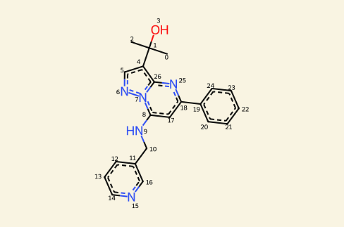 CC(C)(O)c1cnn2c(NCc3cccnc3)cc(-c3ccccc3)nc12